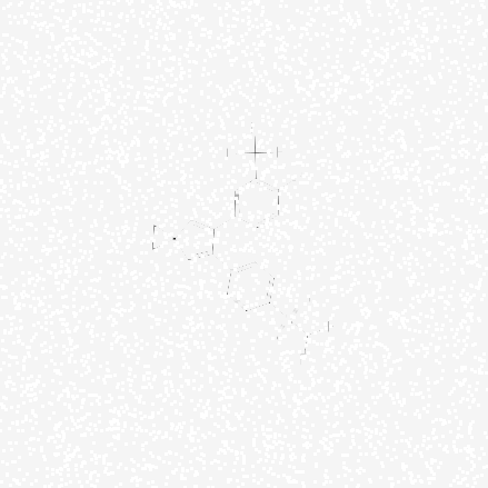 O=S(=O)(c1ccc(C2=CC3(C=C2c2ccc(Br)c(C(F)(F)F)c2)CC3)cc1)C(F)F